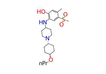 CCCO[C@H]1CC[C@H](N2CCC(Nc3cc(S(C)(=O)=O)c(C)cc3O)CC2)CC1